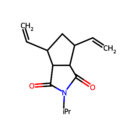 C=CC1CC(C=C)C2C(=O)N(C(C)C)C(=O)C12